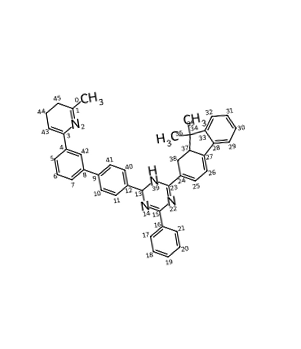 CC1=NC(c2cccc(-c3ccc(C4N=C(c5ccccc5)N=C(C5=CC=C6c7ccccc7C(C)(C)C6C5)N4)cc3)c2)=CCC1